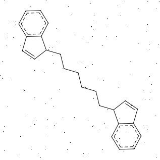 C1=CC(CCCCCCC2C=Cc3ccccc32)c2ccccc21